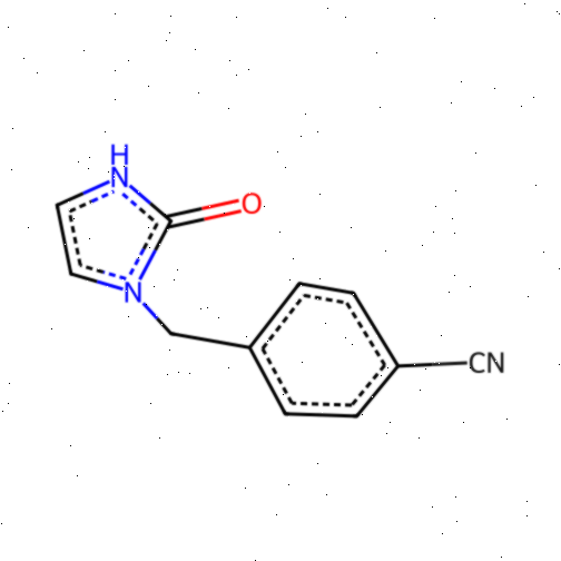 N#Cc1ccc(Cn2cc[nH]c2=O)cc1